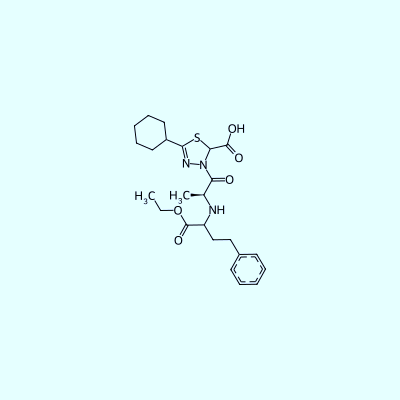 CCOC(=O)C(CCc1ccccc1)N[C@@H](C)C(=O)N1N=C(C2CCCCC2)SC1C(=O)O